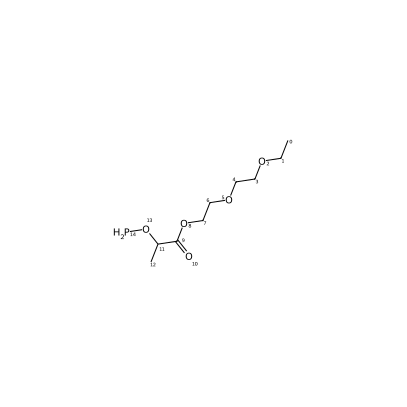 CCOCCOCCOC(=O)C(C)OP